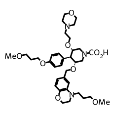 COCCCOc1ccc([C@@H]2[C@@H](OCc3ccc4c(c3)N(CCCOC)CCO4)CN(C(=O)O)C[C@H]2OCCN2CCOCC2)cc1